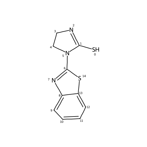 SC1=NCCN1c1nc2ccccc2s1